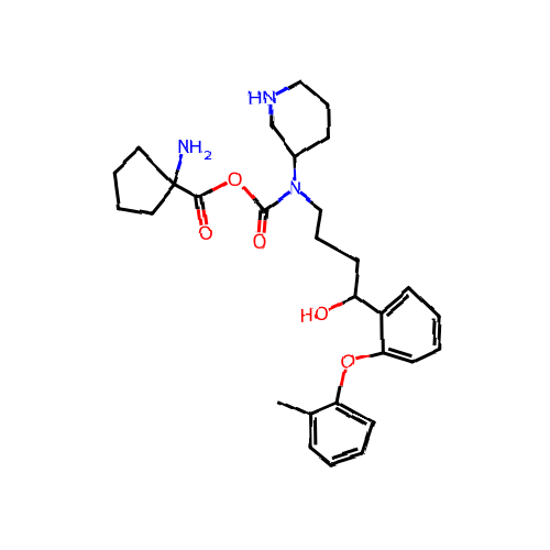 Cc1ccccc1Oc1ccccc1C(O)CCCN(C(=O)OC(=O)C1(N)CCCC1)C1CCCNC1